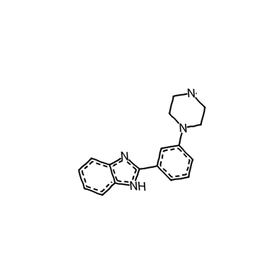 c1cc(-c2nc3ccccc3[nH]2)cc(N2CC[N]CC2)c1